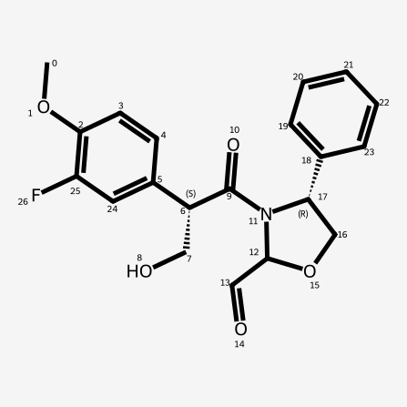 COc1ccc([C@@H](CO)C(=O)N2C(C=O)OC[C@H]2c2ccccc2)cc1F